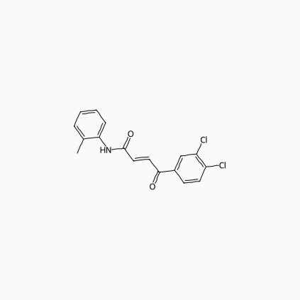 Cc1ccccc1NC(=O)C=CC(=O)c1ccc(Cl)c(Cl)c1